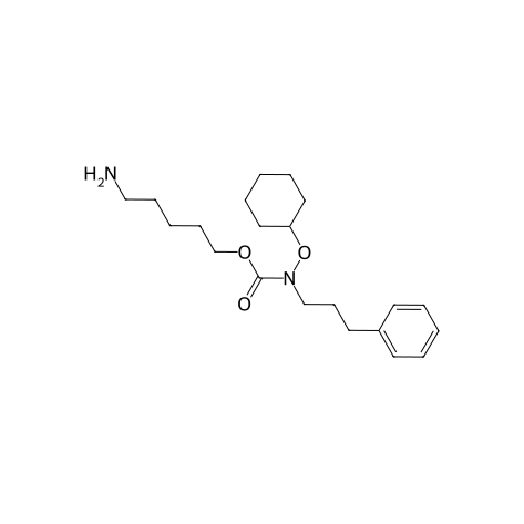 NCCCCCOC(=O)N(CCCc1ccccc1)OC1CCCCC1